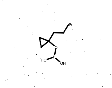 CC(C)CCC1(OP(O)O)CC1